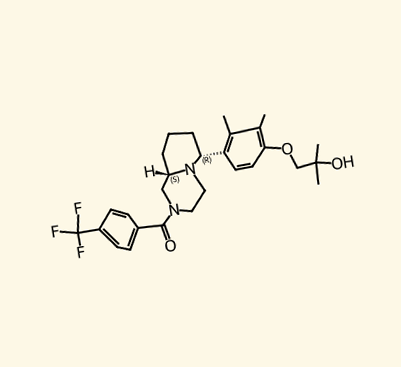 Cc1c(OCC(C)(C)O)ccc([C@H]2CCC[C@H]3CN(C(=O)c4ccc(C(F)(F)F)cc4)CCN32)c1C